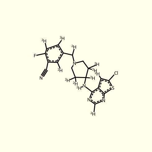 [2H]c1nc(N([2H])C2([2H])C([2H])([2H])CN(C([2H])c3c([2H])c([2H])c(F)c(C#N)c3[2H])CC2([2H])[2H])c2c([2H])c(Cl)sc2n1